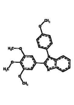 COc1ccc(-n2c(-c3cc(OC)c(OC)c(OC)c3)nc3ccccc32)cc1